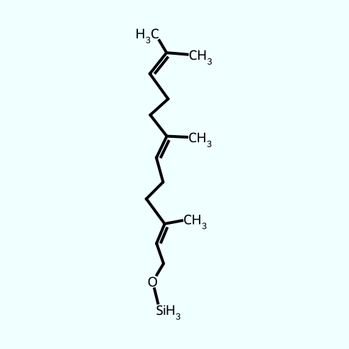 CC(C)=CCC/C(C)=C/CC/C(C)=C/CO[SiH3]